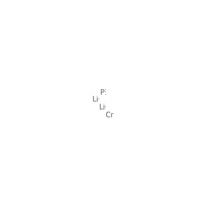 [Cr].[Li].[Li].[P]